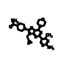 Cc1nc(N)ncc1-c1nc(N2CCOCC2)c2nc(N3CCC(C(N)=O)CC3)n(CC3CC3)c2n1